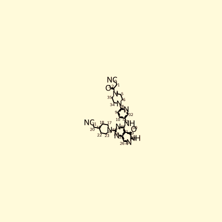 N#CCC(=O)N1CCN(c2ccc(Nc3nc(N4CCC(CC#N)CC4)nc4cn[nH]c(=O)c34)cn2)CC1